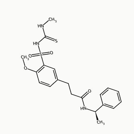 CNC(=S)NS(=O)(=O)c1cc(CCC(=O)N[C@H](C)c2ccccc2)ccc1OC